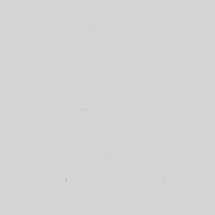 Cc1cc(C(=O)N2C=C(C(=O)OC(C)C)c3[nH]c4cc(Cl)cnc4c3C(C)(C)C2)ccc1F